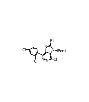 CCCC(C)n1c(CC)nc2c(-c3ccc(Cl)cc3Cl)nnc(Cl)c21